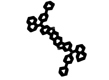 c1ccc(-c2ccc(N(c3ccc4c(c3)oc3cc5cc6c(cc5cc34)oc3cc(N(c4ccc(-c5ccccc5)cc4)c4cccc5ccccc45)ccc36)c3cccc4ccccc34)cc2)cc1